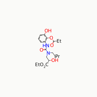 CCOC(=O)C(O)CN(CC(C)C)C(=O)Nc1cccc(O)c1OC(=O)CC